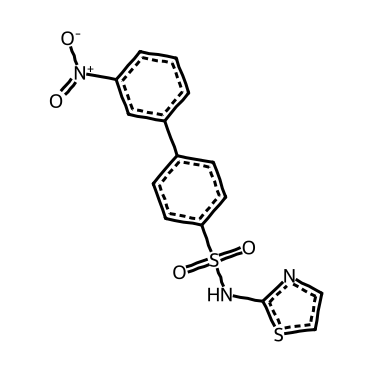 O=[N+]([O-])c1cccc(-c2ccc(S(=O)(=O)Nc3nccs3)cc2)c1